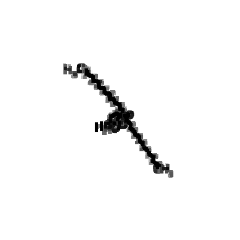 CCCCCCCCCCCCCCCCOC(=O)CCCCCCCCCCCCCCC.O=C(O)[C@@H]1CCCN1O